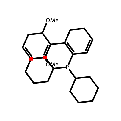 COC1=C(C2=C(P(C3CCCCC3)C3CCCCC3)C=CCC2)C(OC)CC=C1